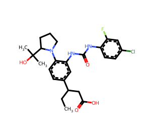 CCC(CC(=O)O)c1ccc(N2CCCC2C(C)(C)O)c(NC(=O)Nc2ccc(Cl)cc2F)c1